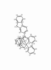 c1ccc(N(c2ccc3c(c2)sc2ccccc23)c2cccc3c2C2(c4ccccc4-3)C3CC4CC(C3)CC2C4)cc1